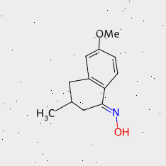 COc1ccc2c(c1)CC(C)CC2=NO